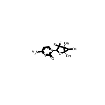 N#C[C@]12O[C@@H](n3ccc(N)nc3=O)C(F)(F)[C@@]1(O)C2O